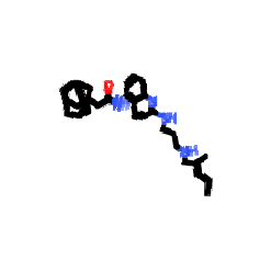 CC/C=C(\C)CNCCCNc1ccc2c(NC(=O)CC34CC5CC(CC(C5)C3)C4)cccc2n1